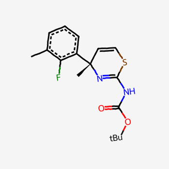 Cc1cccc([C@]2(C)C=CSC(NC(=O)OC(C)(C)C)=N2)c1F